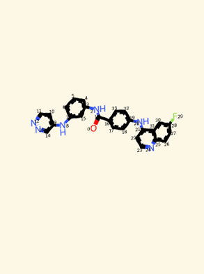 O=C(Nc1cccc(Nc2ccnnc2)c1)c1ccc(Nc2ccnc3ccc(F)cc23)cc1